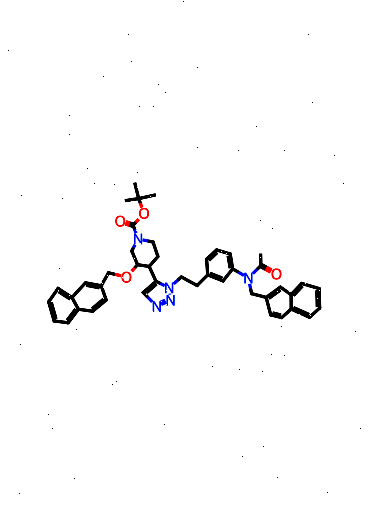 CC(=O)N(Cc1ccc2ccccc2c1)c1cccc(CCn2nncc2C2CCN(C(=O)OC(C)(C)C)CC2OCc2ccc3ccccc3c2)c1